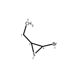 CCC1SC1Br